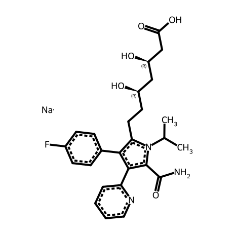 CC(C)n1c(CC[C@@H](O)C[C@@H](O)CC(=O)O)c(-c2ccc(F)cc2)c(-c2ccccn2)c1C(N)=O.[Na]